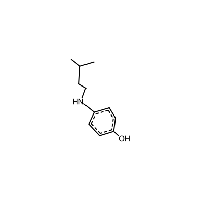 CC(C)CCNc1ccc(O)cc1